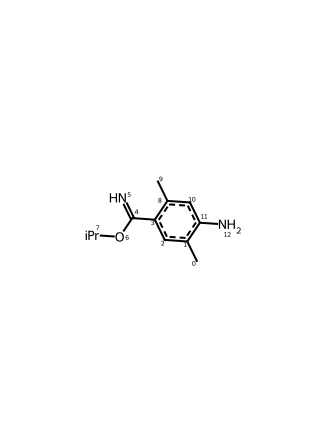 Cc1cc(C(=N)OC(C)C)c(C)cc1N